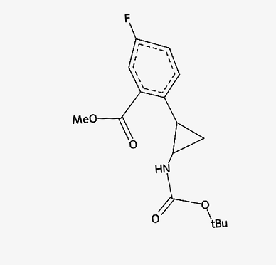 COC(=O)c1cc(F)ccc1C1CC1NC(=O)OC(C)(C)C